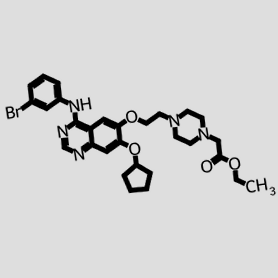 CCOC(=O)CN1CCN(CCOc2cc3c(Nc4cccc(Br)c4)ncnc3cc2OC2CCCC2)CC1